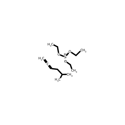 C=C=CCC(C)C.CCO[SiH](OCC)OCC